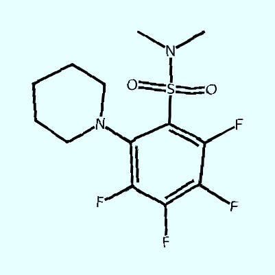 CN(C)S(=O)(=O)c1c(F)c(F)c(F)c(F)c1N1CCCCC1